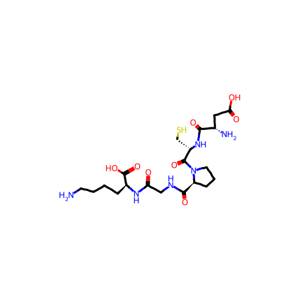 NCCCC[C@H](NC(=O)CNC(=O)[C@@H]1CCCN1C(=O)[C@H](CS)NC(=O)[C@@H](N)CC(=O)O)C(=O)O